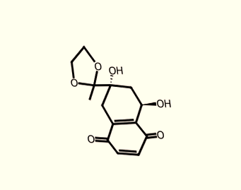 CC1([C@]2(O)CC3=C(C(=O)C=CC3=O)[C@H](O)C2)OCCO1